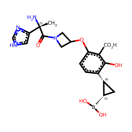 C[C@@](N)(C(=O)N1CC(Oc2ccc([C@@H]3C[C@@H]3B(O)O)c(O)c2C(=O)O)C1)c1c[nH]cn1